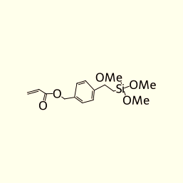 C=CC(=O)OCc1ccc(CC[Si](OC)(OC)OC)cc1